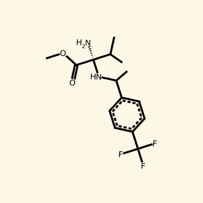 COC(=O)[C@](N)(NC(C)c1ccc(C(F)(F)F)cc1)C(C)C